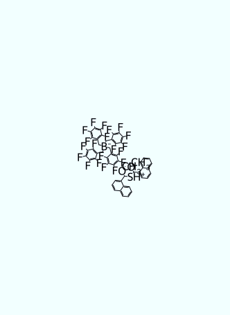 COC([SH+]C(OC)c1cccc2ccccc12)c1cccc2ccccc12.Fc1c(F)c(F)c(C[B-](Cc2c(F)c(F)c(F)c(F)c2F)(Cc2c(F)c(F)c(F)c(F)c2F)Cc2c(F)c(F)c(F)c(F)c2F)c(F)c1F